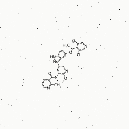 Cc1ncccc1C(=O)N1CCOc2ncc(-c3n[nH]c4ccc(O[C@H](C)c5c(Cl)cncc5Cl)cc34)cc21